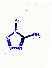 CC(=O)n1nnnc1N